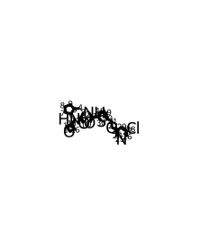 O=C(N[C@@H](CC1CCCC1)C(=O)NC1COC1)c1ccc(COc2cncc(Cl)c2)s1